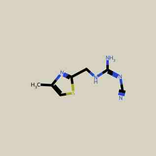 Cc1csc(CN/C(N)=N\C#N)n1